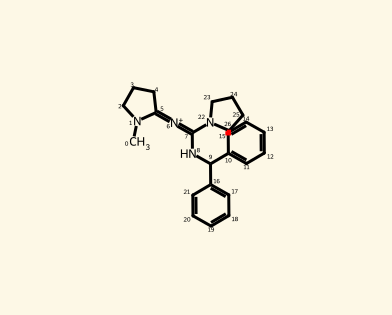 CN1CCCC1=[N+]=C(NC(c1ccccc1)c1ccccc1)N1CCCC1